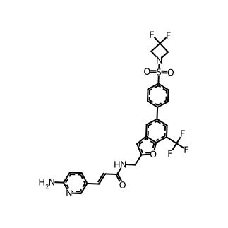 Nc1ccc(/C=C/C(=O)NCc2cc3cc(-c4ccc(S(=O)(=O)N5CC(F)(F)C5)cc4)cc(C(F)(F)F)c3o2)cn1